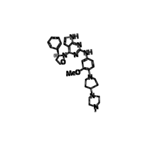 COc1cc(Nc2nc(N3OCC[C@H]3c3ccccc3)c3cc[nH]c3n2)ccc1N1CCC(N2CCN(C)CC2)CC1